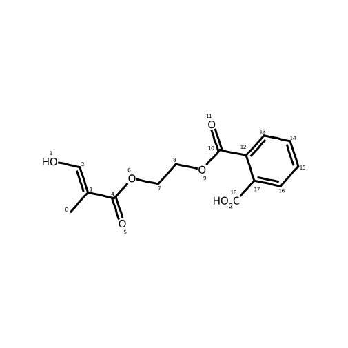 CC(=CO)C(=O)OCCOC(=O)c1ccccc1C(=O)O